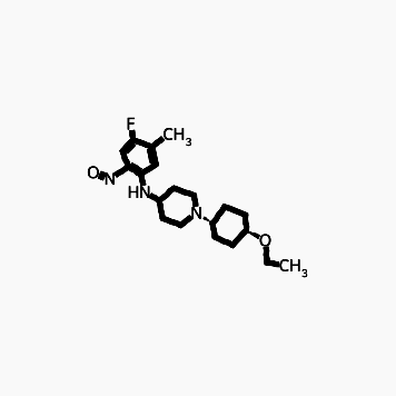 CCO[C@H]1CC[C@H](N2CCC(Nc3cc(C)c(F)cc3N=O)CC2)CC1